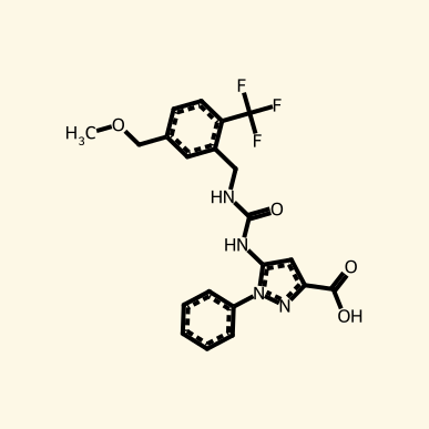 COCc1ccc(C(F)(F)F)c(CNC(=O)Nc2cc(C(=O)O)nn2-c2ccccc2)c1